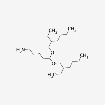 CCCCC(CC)COC(CCCCN)OCC(CC)CCCC